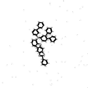 c1ccc(-c2cccc(N(c3ccc(-c4ccccc4)c(-c4ccccc4)c3)c3cccc4c3oc3cc5sc(-c6ccccc6)nc5cc34)c2)cc1